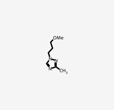 COCCCn1cnc(C)n1